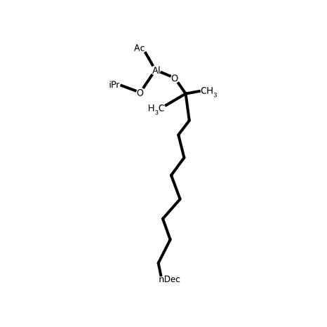 CCCCCCCCCCCCCCCCCCC(C)(C)[O][Al]([O]C(C)C)[C](C)=O